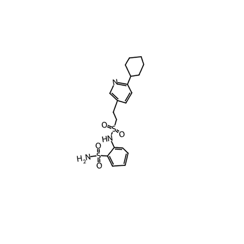 NS(=O)(=O)c1ccccc1NS(=O)(=O)CCc1ccc(C2CCCCC2)nc1